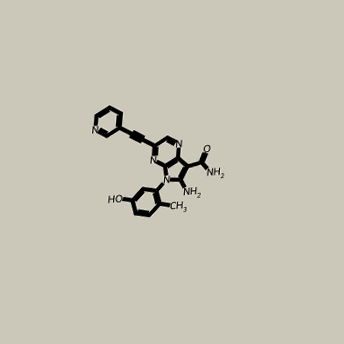 Cc1ccc(O)cc1-n1c(N)c(C(N)=O)c2ncc(C#Cc3cccnc3)nc21